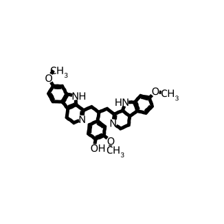 COc1ccc2c(c1)NC1C(CC(CC3=NCCc4c3[nH]c3cc(OC)ccc43)c3ccc(O)c(OC)c3)=NCCC21